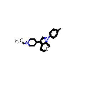 Cc1ccc(-n2cc(C3CCN(CC(F)(F)F)CC3)c3ccccc32)cc1